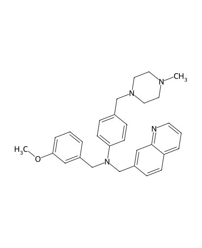 COc1cccc(CN(Cc2ccc3cccnc3c2)c2ccc(CN3CCN(C)CC3)cc2)c1